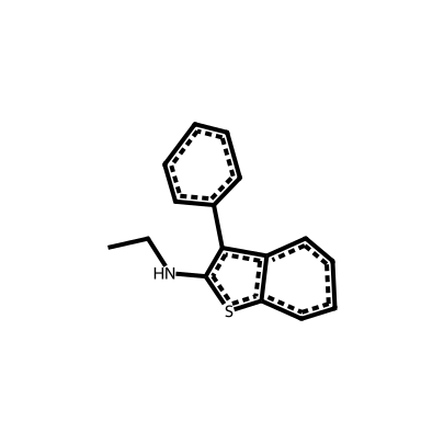 CCNc1sc2ccccc2c1-c1ccccc1